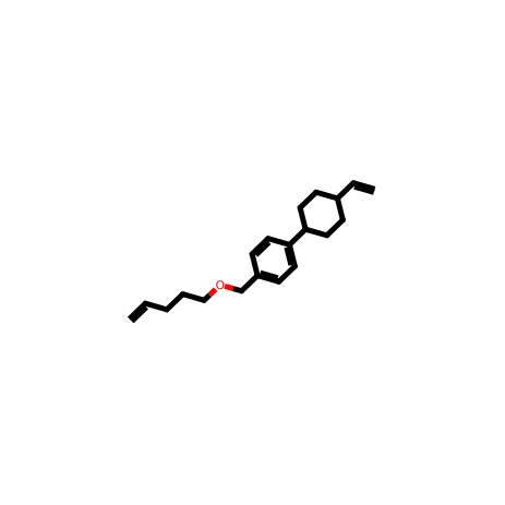 C=CCCCOCc1ccc(C2CCC(C=C)CC2)cc1